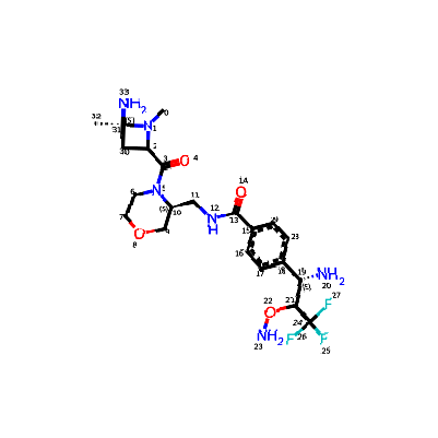 CN1C(C(=O)N2CCOC[C@@H]2CNC(=O)c2ccc([C@H](N)C(ON)C(F)(F)F)cc2)C[C@@]1(C)N